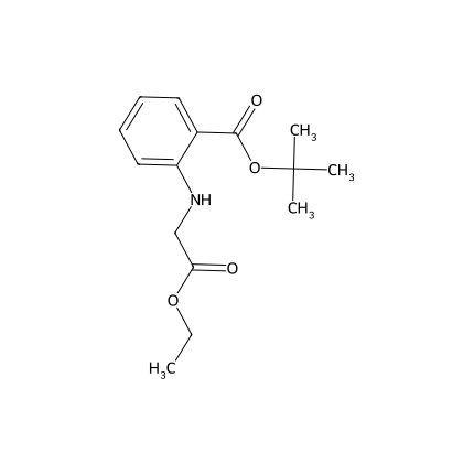 CCOC(=O)CNc1ccccc1C(=O)OC(C)(C)C